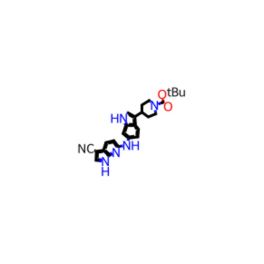 CC(C)(C)OC(=O)N1CCC(c2c[nH]c3cc(Nc4ccc5c(C#N)c[nH]c5n4)ccc23)CC1